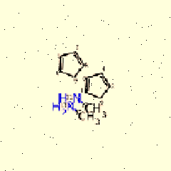 C1=CCC=C1.C1=CCC=C1.CN.CN